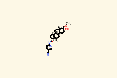 COC[C@@]1(O)CC[C@H]2[C@H](CC[C@@H]3[C@@H]2CC[C@]2(C)[C@@H](C(=O)Nc4ccc(C#N)cn4)CC[C@@H]32)C1